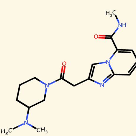 CNC(=O)c1cccc2nc(CC(=O)N3CCCC(N(C)C)C3)cn12